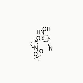 CC(C)(C)OC(=O)N1CCC[C@H](Oc2cc(C#N)ccc2NO)C1